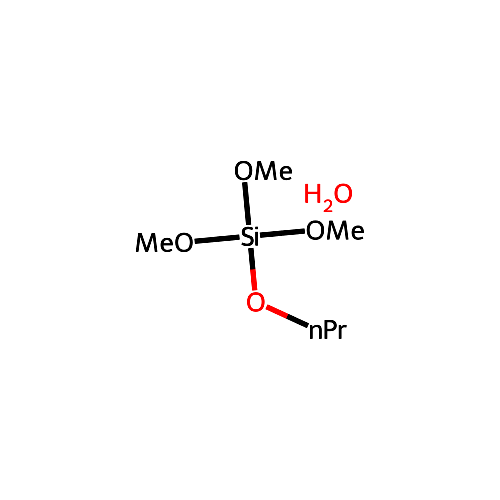 CCCO[Si](OC)(OC)OC.O